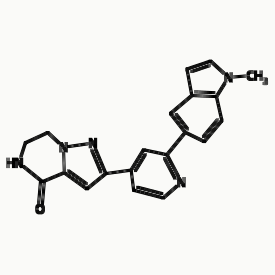 Cn1ccc2cc(-c3cc(-c4cc5n(n4)CCNC5=O)ccn3)ccc21